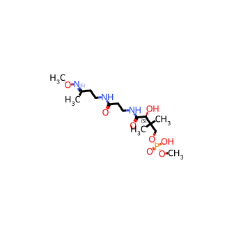 CO/N=C(\C)CCNC(=O)CCNC(=O)[C@@H](O)C(C)(C)COP(=O)(O)OC